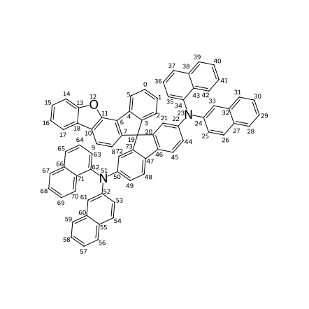 c1ccc2c(c1)-c1c(ccc3c1oc1ccccc13)C21c2cc(N(c3ccc4ccccc4c3)c3cccc4ccccc34)ccc2-c2ccc(N(c3ccc4ccccc4c3)c3cccc4ccccc34)cc21